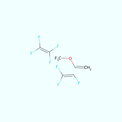 C=COC(F)(F)F.FC(F)=C(F)F.FC=C(F)F